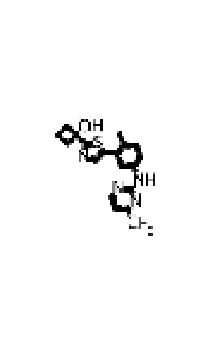 Cc1ccc(Nc2nccc(C(F)(F)F)n2)cc1-c1cnc(C2(O)CCC2)s1